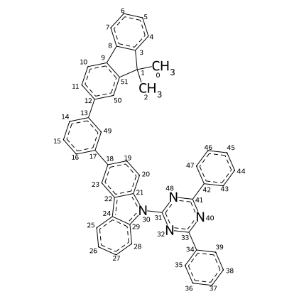 CC1(C)c2ccccc2-c2ccc(-c3cccc(-c4ccc5c(c4)c4ccccc4n5-c4nc(-c5ccccc5)nc(-c5ccccc5)n4)c3)cc21